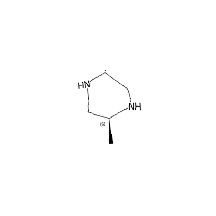 C[C@H]1CN[CH]CN1